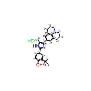 Cc1[nH]c(-c2ccc(O)c(C(C)(C)C)c2)nc1-c1cc2c3c(c1)CCCN3CCC2.Cl